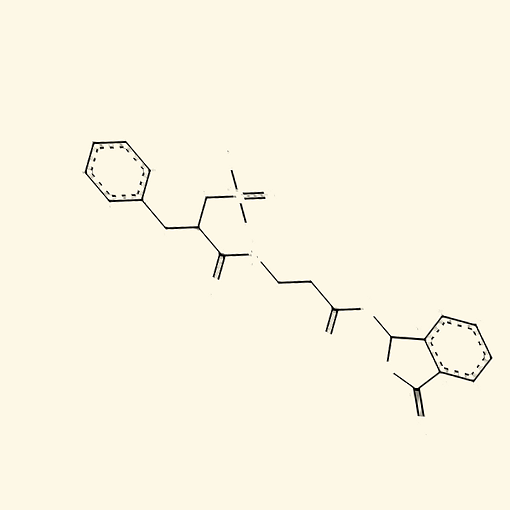 O=C(CCNC(=O)C(Cc1ccccc1)CP(=O)(O)O)OC1OC(=O)c2ccccc21